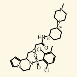 Cc1ccc(Cl)c(S(=O)(=O)N2CCn3cccc3C2COCC(=O)N[C@@H]2CCC[C@H](N3CCN(C)CC3)C2)c1Cl